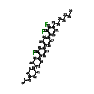 C/C=C/C1CCC(C2CCC(c3ccc(-c4ccc(-c5ccc(CCCCCCC)c(F)c5F)cc4)cc3F)CC2)CC1